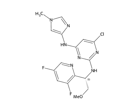 COC[C@@H](Nc1nc(Cl)cc(Nc2cn(C)cn2)n1)c1ncc(F)cc1F